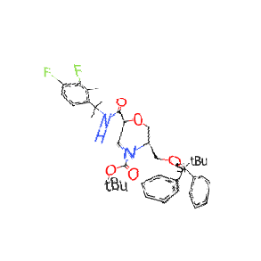 Cc1c(C(C)(C)NC(=O)[C@@H]2CN(C(=O)OC(C)(C)C)[C@H](CO[Si](c3ccccc3)(c3ccccc3)C(C)(C)C)CO2)ccc(F)c1F